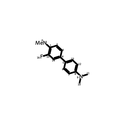 CNc1ccc(-c2ccc(N(C)C)cc2)cc1F